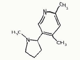 Cc1cc(C)c(C2CCCN2C)cn1